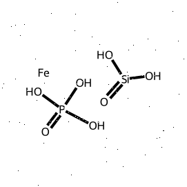 O=P(O)(O)O.O=[Si](O)O.[Fe]